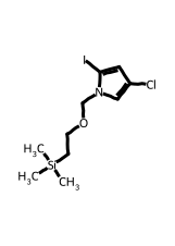 C[Si](C)(C)CCOCn1cc(Cl)cc1I